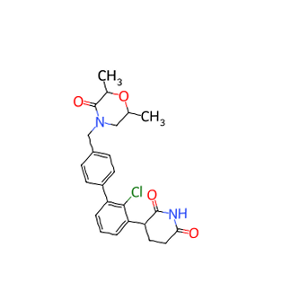 CC1CN(Cc2ccc(-c3cccc(C4CCC(=O)NC4=O)c3Cl)cc2)C(=O)C(C)O1